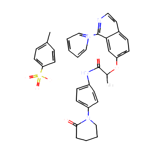 CCCC(Oc1ccc2ccnc(-[n+]3ccccc3)c2c1)C(=O)Nc1ccc(N2CCCCC2=O)cc1.Cc1ccc(S(=O)(=O)[O-])cc1